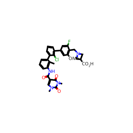 COc1cc(-c2cccc(-c3cccc(NC(=O)c4cn(C)c(=O)n(C)c4=O)c3C)c2Cl)cc(F)c1CN1CC(C(=O)O)C1